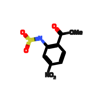 COC(=O)c1ccc([N+](=O)[O-])cc1N=S(=O)=O